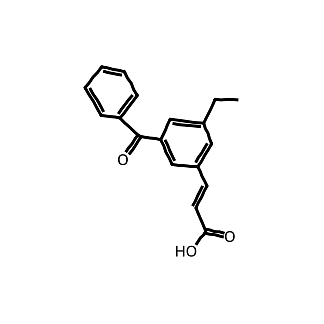 CCc1cc(C=CC(=O)O)cc(C(=O)c2ccccc2)c1